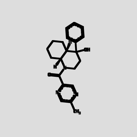 Cc1cnc(C(=O)N2CCC(O)(c3ccccc3)[C@H]3CCCC[C@H]32)cn1